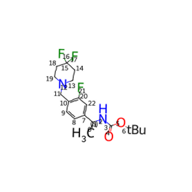 C[C@H](NC(=O)OC(C)(C)C)c1ccc(CN2CCC(F)(F)CC2)c(F)c1